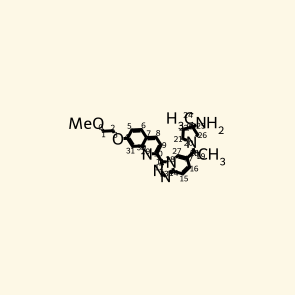 COCCOc1ccc2ccc(-c3nnc4ccc([C@@H](C)N5CC[C@](C)(N)C5)cn34)nc2c1